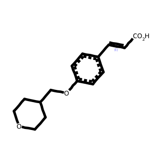 O=C(O)/C=C/c1ccc(OCC2CCOCC2)cc1